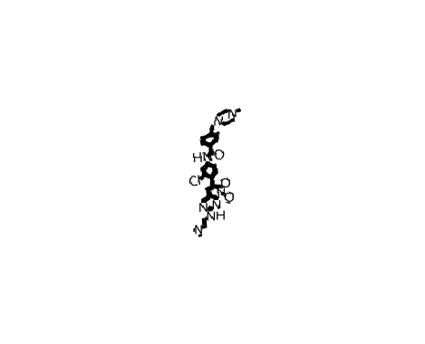 COn1c(=O)c(-c2ccc(NC(=O)c3ccc(CN4CCN(C)CC4)cc3)cc2Cl)cc2cnc(NCCN(C)C)nc21